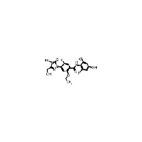 CCn1c(CO)nn(-c2cc(OCC(F)(F)F)c(C(=O)Nc3c(F)cc(O)cc3Cl)cc2F)c1=O